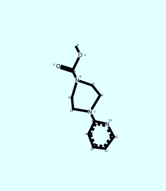 COC(=O)N1CCN(c2c[c]ccn2)CC1